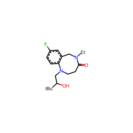 CCN1Cc2cc(F)ccc2N(CC(O)C(C)(C)C)CCC1=O